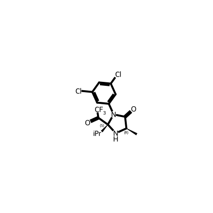 CC(C)[C@]1(C(=O)C(F)(F)F)N[C@H](C)C(=O)N1c1cc(Cl)cc(Cl)c1